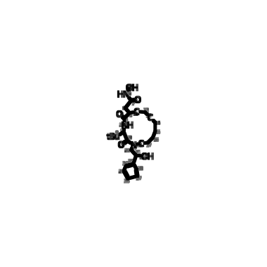 CC(C)(C)C1NC(=O)C(CC(=O)NO)CCCCCCCCN(CC(O)c2ccccc2)C1=O